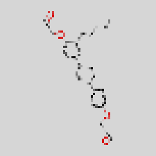 CCCCCc1cc(C2C=CC(c3ccc(OCC4CO4)cc3)CC2)ccc1OCC1CO1